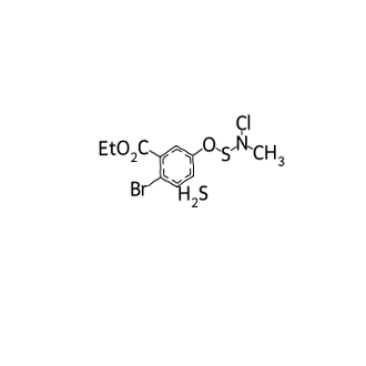 CCOC(=O)c1cc(OSN(C)Cl)ccc1Br.S